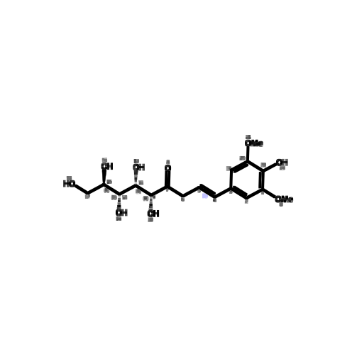 COc1cc(/C=C/CC(=O)[C@H](O)[C@@H](O)[C@H](O)[C@H](O)CO)cc(OC)c1O